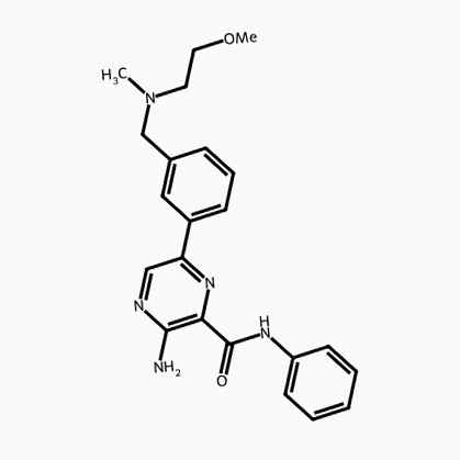 COCCN(C)Cc1cccc(-c2cnc(N)c(C(=O)Nc3ccccc3)n2)c1